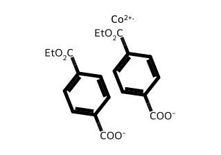 CCOC(=O)c1ccc(C(=O)[O-])cc1.CCOC(=O)c1ccc(C(=O)[O-])cc1.[Co+2]